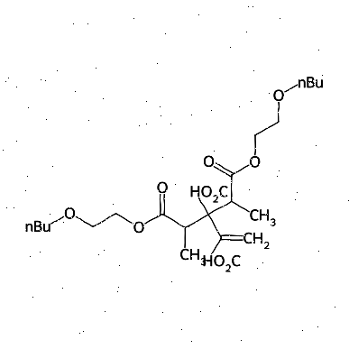 C=C(C(=O)O)C(C(=O)O)(C(C)C(=O)OCCOCCCC)C(C)C(=O)OCCOCCCC